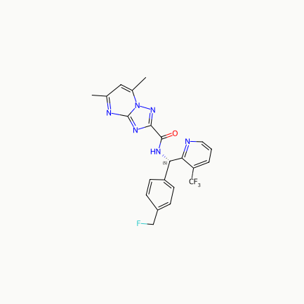 Cc1cc(C)n2nc(C(=O)N[C@@H](c3ccc(CF)cc3)c3ncccc3C(F)(F)F)nc2n1